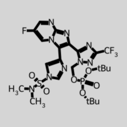 CN(C)S(=O)(=O)n1cnc(-c2c(-c3nc(C(F)(F)F)nn3COP(=O)(OC(C)(C)C)OC(C)(C)C)nc3ncc(F)cn23)c1